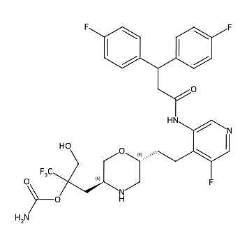 NC(=O)OC(CO)(C[C@H]1CO[C@H](CCc2c(F)cncc2NC(=O)CC(c2ccc(F)cc2)c2ccc(F)cc2)CN1)C(F)(F)F